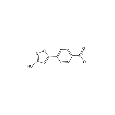 O=[N+]([O-])c1ccc(-c2cc(O)no2)cc1